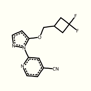 N#Cc1ccnc(-n2nccc2OCC2CC(F)(F)C2)c1